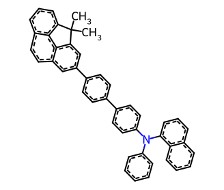 CC1(C)c2cccc3ccc4cc(-c5ccc(-c6ccc(N(c7ccccc7)c7cccc8ccccc78)cc6)cc5)cc1c4c23